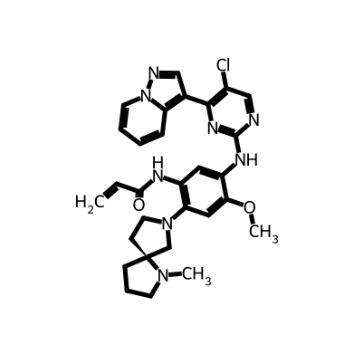 C=CC(=O)Nc1cc(Nc2ncc(Cl)c(-c3cnn4ccccc34)n2)c(OC)cc1N1CC[C@@]2(CCCN2C)C1